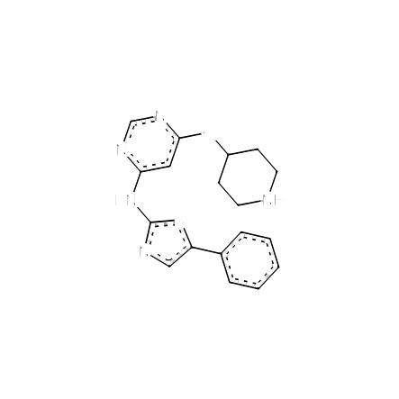 c1ccc(-c2cnc(Nc3cc(OC4CCNCC4)ncn3)s2)cc1